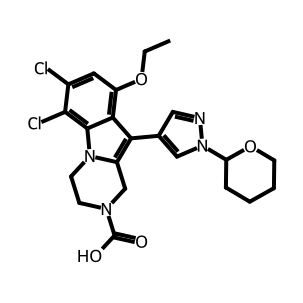 CCOc1cc(Cl)c(Cl)c2c1c(-c1cnn(C3CCCCO3)c1)c1n2CCN(C(=O)O)C1